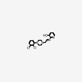 Oc1cccnc1/N=C/CN1CCN(c2cccc(Cl)c2Cl)CC1